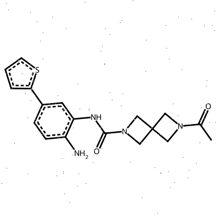 CC(=O)N1CC2(C1)CN(C(=O)Nc1cc(-c3cccs3)ccc1N)C2